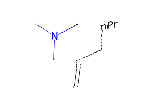 C=CCCCC.CN(C)C